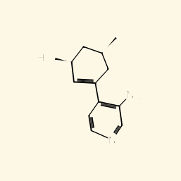 C[C@H]1CC(c2ccncc2N=O)=C[C@@H](O)C1